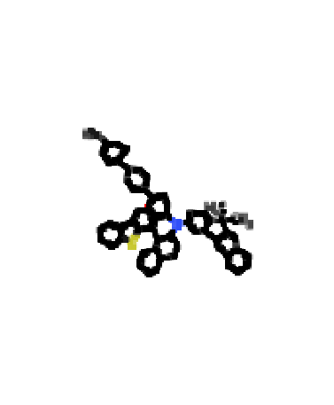 CC(C)(C)c1ccc(-c2ccc(-c3ccc(N(c4ccc5c(c4)-c4cc6ccccc6cc4C5(C)C)c4ccc5ccccc5c4-c4cccc5c4sc4ccccc45)cc3)cc2)cc1